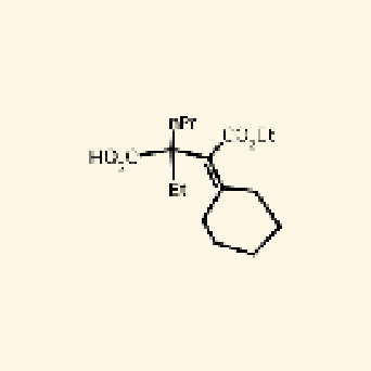 CCCC(CC)(C(=O)O)C(C(=O)OCC)=C1CCCCC1